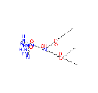 CCCCCCCCCCCOC(=O)CCCCCN(CCCCCCCC(=O)OC(CCCCCCCC)CCCCCCCC)CC(O)CCCCNC(=O)[C@H](Cc1cnc[nH]1)NC(=O)[C@@H](N)Cc1cnc[nH]1